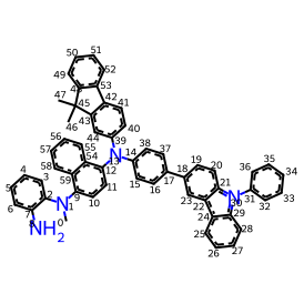 CN(c1ccccc1N)c1ccc(N(c2ccc(-c3ccc4c(c3)c3ccccc3n4-c3ccccc3)cc2)c2ccc3c(c2)C(C)(C)c2ccccc2-3)c2ccccc12